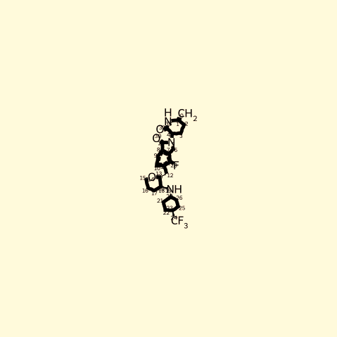 C=C1CCC(N2Cc3c(ccc(C[C@H]4OCCC[C@@H]4N[C@H]4CC[C@H](C(F)(F)F)CC4)c3F)C2=O)C(=O)N1